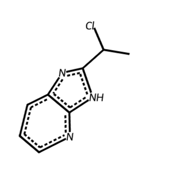 CC(Cl)c1nc2cccnc2[nH]1